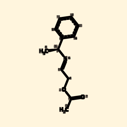 CC(=O)OCC=N[C@@H](C)c1ccccc1